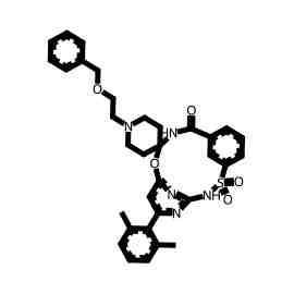 Cc1cccc(C)c1-c1cc2nc(n1)NS(=O)(=O)c1cccc(c1)C(=O)NC1(CCN(CCOCc3ccccc3)CC1)O2